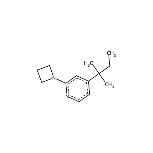 CCC(C)(C)c1ccnc(N2CCC2)c1